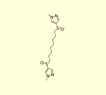 Cn1cc([S+]([O-])CCCCCCCC[S+]([O-])c2cnn(C)c2)cn1